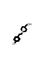 OCC1CCN(CCc2ccc(Cl)cc2)CC1